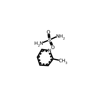 Cc1ccccn1.NS(N)(=O)=O